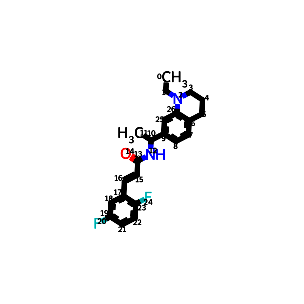 CCN1CCCc2ccc(C(C)NC(=O)C=Cc3cc(F)ccc3F)cc21